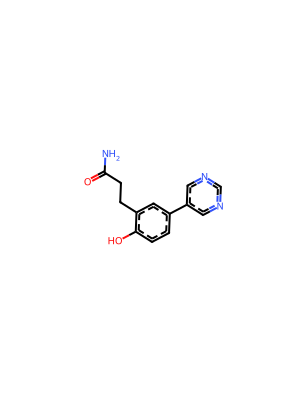 NC(=O)CCc1cc(-c2cncnc2)ccc1O